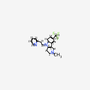 CN1CCC2=C(C1)C1=CC(C(F)(F)F)=CCC1N2CCc1ccccn1